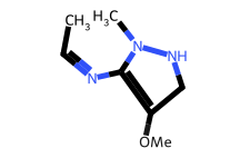 C/C=N\C1=C(OC)CNN1C